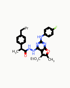 CCOC(=O)c1c(C)oc2nc(Nc3ccc(F)cc3)nc(NNC(=O)C(C)c3ccc(CC(C)C)cc3)c12